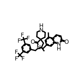 Cc1cc(CN(Cc2cc(C(F)(F)F)cc(C(F)(F)F)c2)C(=O)C2(CC(C)C)CCNCC2)cc2[nH]c(=O)ccc12